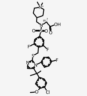 COc1cc(C(C)(C)c2cnc(SCc3c(F)cc(S(=O)(=O)N(CC4CC[N+](C)(C)CC4)[C@H](C)C(=O)O)cc3F)n2-c2ccc(F)cc2)ccc1Cl